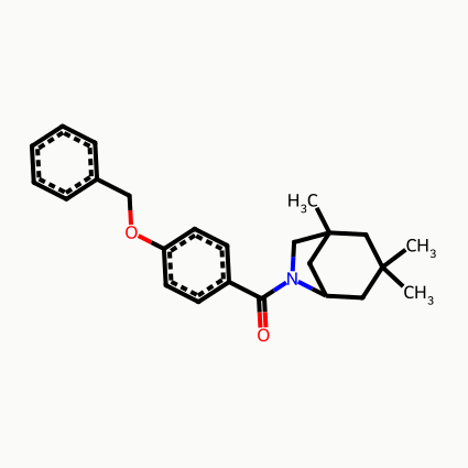 CC1(C)CC2CC(C)(CN2C(=O)c2ccc(OCc3ccccc3)cc2)C1